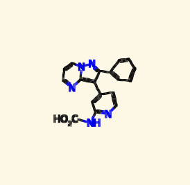 O=C(O)Nc1cc(-c2c(-c3ccccc3)nn3cccnc23)ccn1